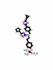 CC(C)(Oc1ccc(CCN(Cc2ccc(-c3noc(C4CC4)n3)cc2)c2noc(C3CCCC3)n2)cc1)C(=O)O